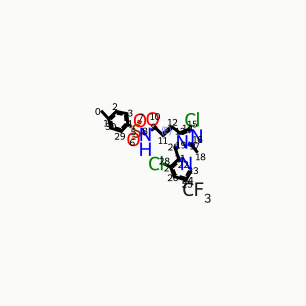 Cc1ccc(S(=O)(=O)NC(=O)/C=C/c2c(Cl)nc(C)n2Cc2ncc(C(F)(F)F)cc2Cl)cc1